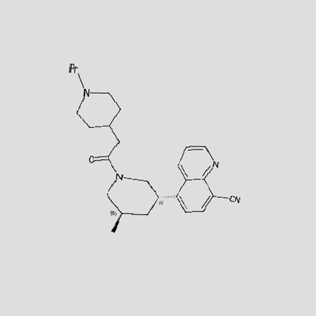 CC(C)N1CCC(CC(=O)N2C[C@H](C)C[C@@H](c3ccc(C#N)c4ncccc34)C2)CC1